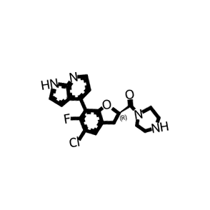 O=C([C@H]1Cc2cc(Cl)c(F)c(-c3ccnc4[nH]ccc34)c2O1)N1CCNCC1